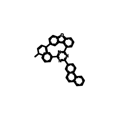 CC1C=CC(c2ccc3oc4cccc(-c5nc(-c6ccccc6)nc(-c6ccc7c(ccc8ccccc87)c6)n5)c4c3c2)=CC1